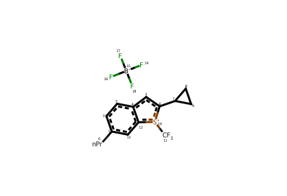 CCCc1ccc2cc(C3CC3)[s+](C(F)(F)F)c2c1.F[B-](F)(F)F